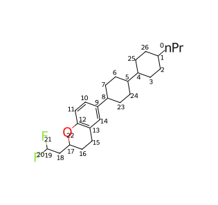 CCCC1CCC(C2CCC(c3ccc4c(c3)CCC(CC(F)F)O4)CC2)CC1